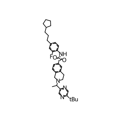 CC(c1cnc(C(C)(C)C)cn1)N1CCc2cc(S(=O)(=O)Nc3ccc(CCCC4CCCC4)cc3F)ccc2C1